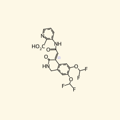 O=C(/C=C1\C(=O)NCc2cc(OC(F)F)c(OC(F)F)cc21)Nc1cccnc1C(=O)O